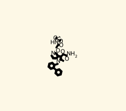 Cc1c(C(=O)C(N)=O)c2c(OCC(=O)NS(C)(=O)=O)nccc2n1Cc1ccccc1-c1ccccc1